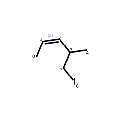 C/C=C\C(C)CI